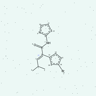 CC(C)/C=C(/C(=O)Nc1nccs1)c1ccc(Br)s1